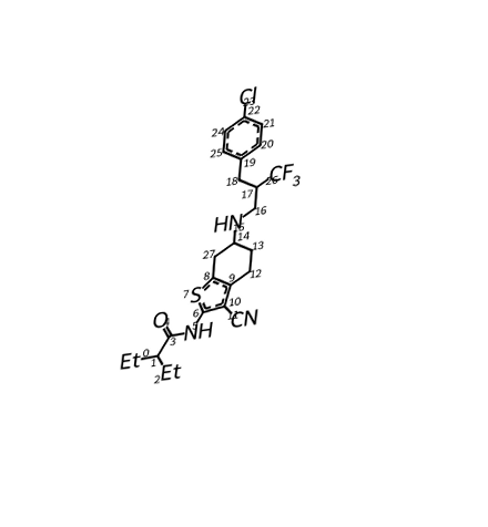 CCC(CC)C(=O)Nc1sc2c(c1C#N)CCC(NCC(Cc1ccc(Cl)cc1)C(F)(F)F)C2